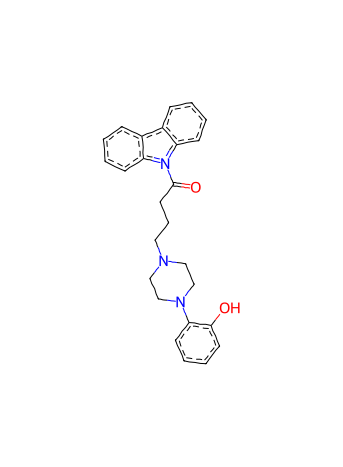 O=C(CCCN1CCN(c2ccccc2O)CC1)n1c2ccccc2c2ccccc21